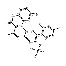 CC(=O)c1c(-c2ccc(OC(F)(F)F)c(-c3ncc(F)cc3C)c2)c2cc(Cl)ccc2[nH]c1=O